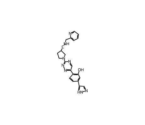 Oc1cc(-c2cn[nH]c2)ccc1-c1cnc(N2CCC(CNCc3ccccn3)C2)nn1